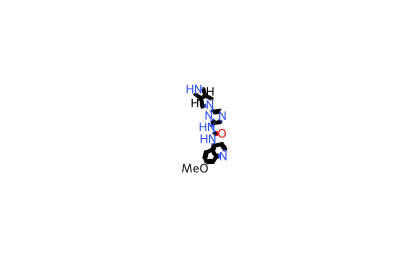 COc1ccc2c(NC(=O)Nc3cncc(N4C[C@H]5CNC[C@H]5C4)n3)ccnc2c1